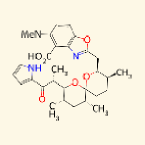 CNc1ccc2oc(C[C@@H]3OC4(CC[C@@H]3C)OC([C@@H](C)C(=O)c3ccc[nH]3)[C@@H](C)C[C@H]4C)nc2c1C(=O)O